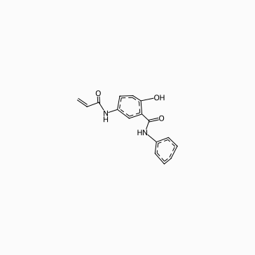 C=CC(=O)Nc1ccc(O)c(C(=O)Nc2ccccc2)c1